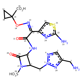 NCc1cnn(CC2C(NC(=O)/C(=N\OC3(C(=O)O)CC3)c3csc(N)n3)C(=O)N2S(=O)(=O)O)n1